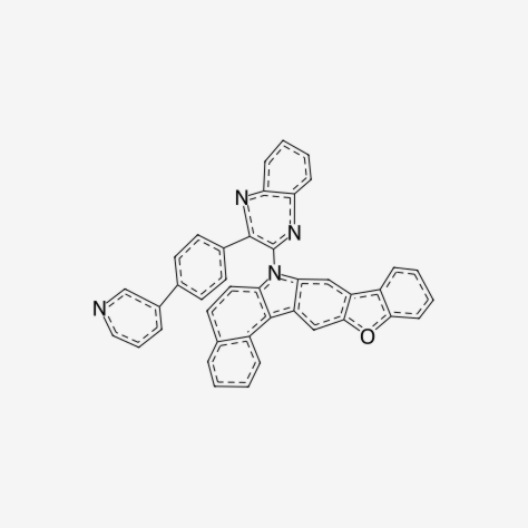 c1cncc(-c2ccc(-c3nc4ccccc4nc3-n3c4cc5c(cc4c4c6ccccc6ccc43)oc3ccccc35)cc2)c1